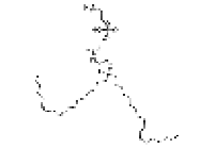 CCCCC/C=C\C/C=C\CCCCCCCCC1(CCCCCCCC/C=C\C/C=C\CCCCC)OC[C@H](NN(C)CCOP(=O)(O)OCCN)O1